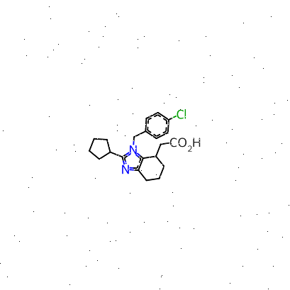 O=C(O)CC1CCCc2nc(C3CCCC3)n(Cc3ccc(Cl)cc3)c21